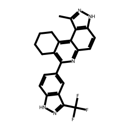 Cc1n[nH]c2ccc3nc(-c4ccc5[nH]nc(C(F)(F)F)c5c4)c4c(c3c12)CCCC4